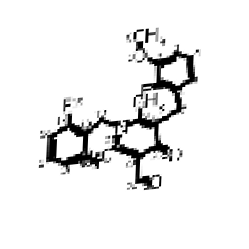 COc1cccc(Cc2c(C)n(Cc3c(F)cccc3F)c(C)c(C=O)c2=O)c1F